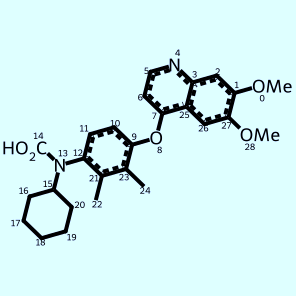 COc1cc2nccc(Oc3ccc(N(C(=O)O)C4CCCCC4)c(C)c3C)c2cc1OC